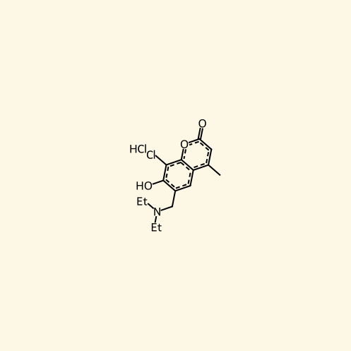 CCN(CC)Cc1cc2c(C)cc(=O)oc2c(Cl)c1O.Cl